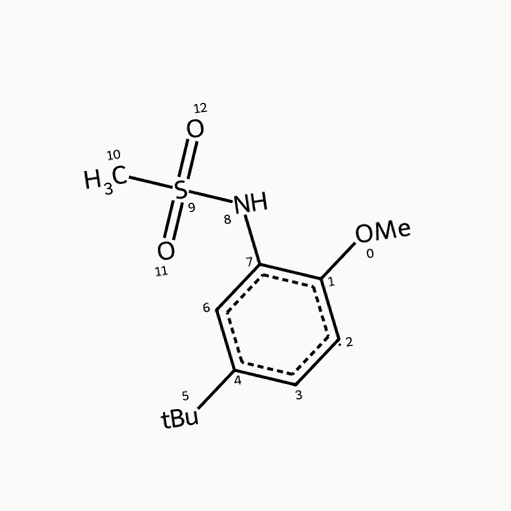 COc1[c]cc(C(C)(C)C)cc1NS(C)(=O)=O